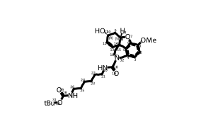 COc1ccc2c3c1O[C@H]1C[C@@H](O)C=CC31CCN(C(=O)NCCCCCCNC(=O)OC(C)(C)C)C2